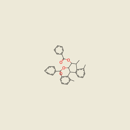 Cc1cccc2c1C(C)C(OC(=O)c1ccccc1)C(OC(=O)c1ccccc1)C2c1c(C)cccc1C